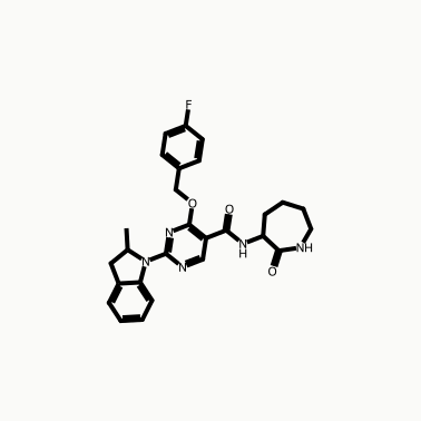 CC1Cc2ccccc2N1c1ncc(C(=O)NC2CCCCNC2=O)c(OCc2ccc(F)cc2)n1